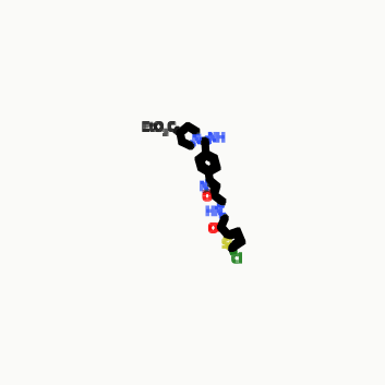 CCOC(=O)C1CCN(C(=N)c2ccc(-c3cc(CNCC(=O)c4ccc(Cl)s4)on3)cc2)CC1